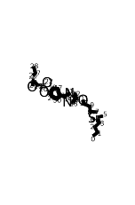 CCCC[Si](C)(C)CCCCOc1cnc(-c2ccc(OC(=O)[C@@H]3O[C@@H]3CCC)cc2)nc1